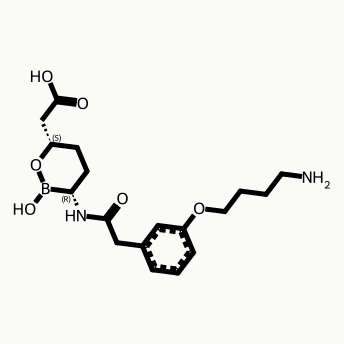 NCCCCOc1cccc(CC(=O)N[C@H]2CC[C@@H](CC(=O)O)OB2O)c1